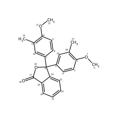 COc1ccc(C2(c3ccc(OC)c(C)c3)OC(=O)c3ccccc32)cc1C